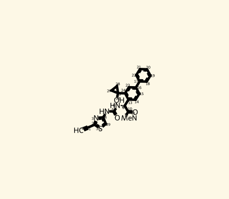 C#Cc1nc(NC(=O)N[C@@H](C(=O)NC)c2ccc(-c3ccccc3)cc2C2(O)CC2)cs1